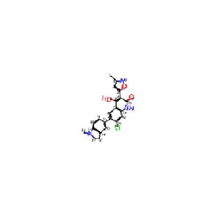 Cc1cc(-c2c(O)c3cc(-c4ccc5c(c4)CCN5C)c(Cl)cc3[nH]c2=O)on1